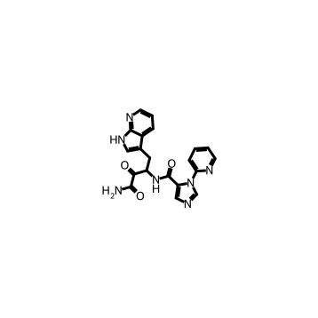 NC(=O)C(=O)C(Cc1c[nH]c2ncccc12)NC(=O)c1cncn1-c1ccccn1